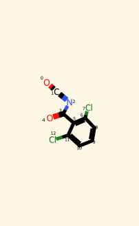 O=C=NC(=O)c1c(Cl)cccc1Cl